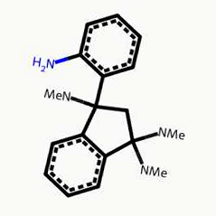 CNC1(NC)CC(NC)(c2ccccc2N)c2ccccc21